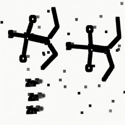 CCS(CC)=P([O-])([O-])[S-].CCS(CC)=P([O-])([O-])[S-].[Zn+2].[Zn+2].[Zn+2]